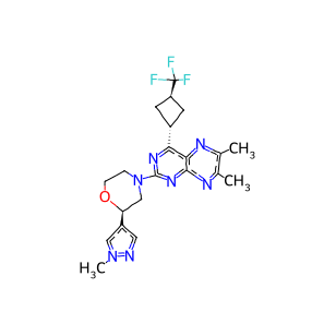 Cc1nc2nc(N3CCO[C@H](c4cnn(C)c4)C3)nc([C@H]3C[C@H](C(F)(F)F)C3)c2nc1C